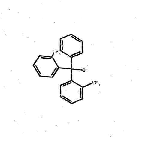 FC(F)(F)c1ccccc1C(Br)(c1ccccc1)c1ccccc1C(F)(F)F